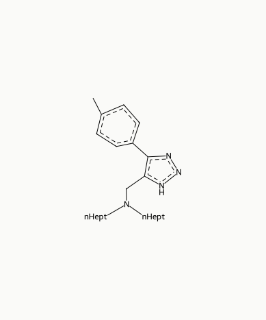 CCCCCCCN(CCCCCCC)Cc1[nH]nnc1-c1ccc(C)cc1